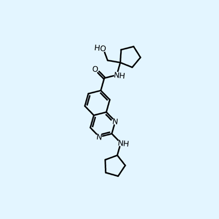 O=C(NC1(CO)CCCC1)c1ccc2cnc(NC3CCCC3)nc2c1